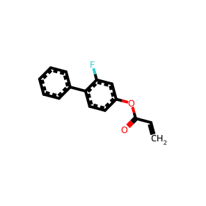 C=CC(=O)Oc1ccc(-c2ccccc2)c(F)c1